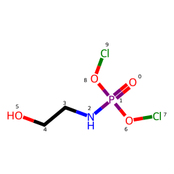 O=P(NCCO)(OCl)OCl